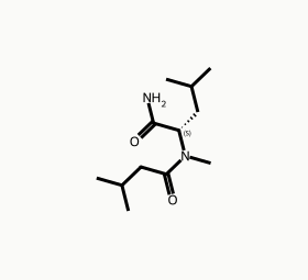 CC(C)CC(=O)N(C)[C@@H](CC(C)C)C(N)=O